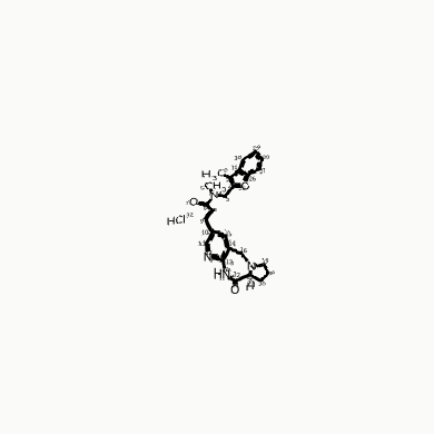 Cc1c(CN(C)C(=O)C=Cc2cnc3c(c2)CN2CCC[C@H]2C(=O)N3)oc2ccccc12.Cl